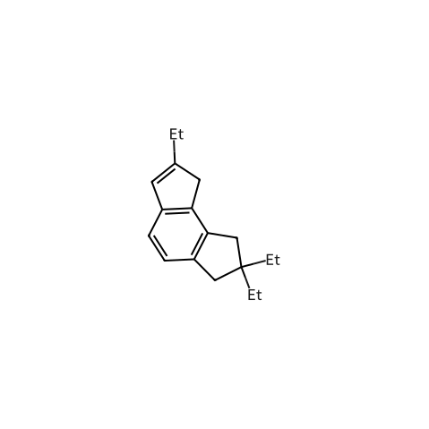 CCC1=Cc2ccc3c(c2C1)CC(CC)(CC)C3